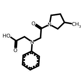 CC1CCN(C(=O)CN(CC(=O)O)c2ccccc2)C1